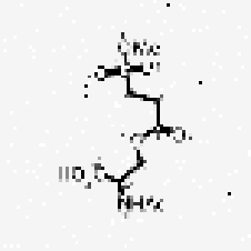 COS(=O)(=O)CCC(=O)OCC(NC(C)=O)C(=O)O